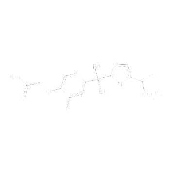 CCOC(=O)C(C)c1coc(C(CC)(CC)c2ccc(OCC(=O)C(C)(C)C)c(C)c2)n1